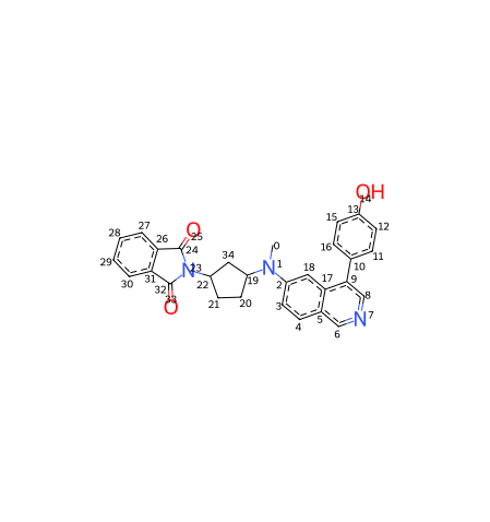 CN(c1ccc2cncc(-c3ccc(O)cc3)c2c1)C1CCC(N2C(=O)c3ccccc3C2=O)C1